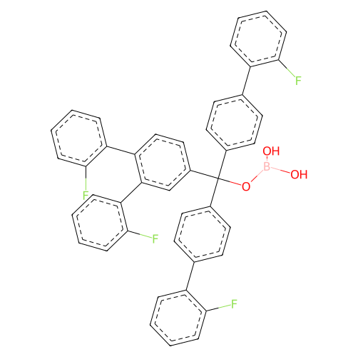 OB(O)OC(c1ccc(-c2ccccc2F)cc1)(c1ccc(-c2ccccc2F)cc1)c1ccc(-c2ccccc2F)c(-c2ccccc2F)c1